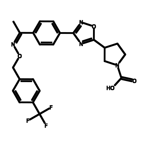 CC(=NOCc1ccc(C(F)(F)F)cc1)c1ccc(-c2noc(C3CCN(C(=O)O)C3)n2)cc1